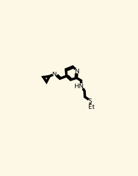 CCSCCNCc1cc(/C=N/C2CC2)ccn1